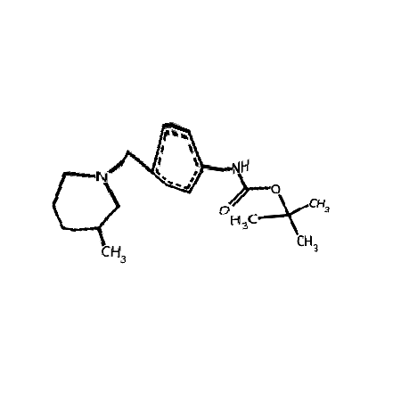 CC1CCCN(Cc2ccc(NC(=O)OC(C)(C)C)cc2)C1